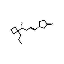 CCCC1([C@H](O)C/C=C/[C@H]2CCC(=O)C2)CCC1